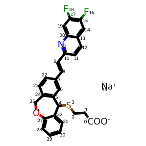 O=C([O-])CCSC1c2cc(/C=C/c3ccc4cc(F)c(F)cc4n3)ccc2COc2ccccc21.[Na+]